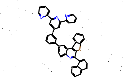 c1ccc(-c2cc(-c3cccc(-c4ccc5nc(-c6cccc7ccccc67)c6sc7ccccc7c6c5c4)c3)cc(-c3ccccn3)n2)nc1